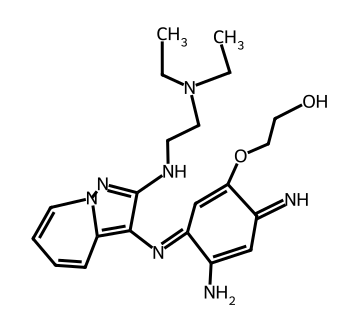 CCN(CC)CCNc1nn2ccccc2c1/N=C1\C=C(OCCO)C(=N)C=C1N